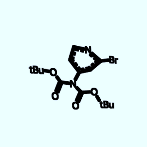 CC(C)(C)OC(=O)N(C(=O)OC(C)(C)C)c1ccnc(Br)c1